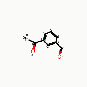 [2H]C(=O)c1cccc(C=O)c1